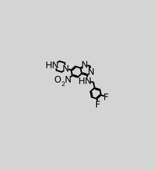 O=[N+]([O-])c1cc2c(NCc3ccc(F)c(F)c3)ncnc2cc1N1CCNCC1